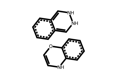 C1=COc2ccccc2N1.C1=c2ccccc2=CNN1